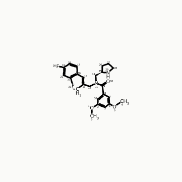 COc1cc(OC)cc(C(=O)N(CC(C)=Cc2ccc(F)cc2F)C[C@H]2CCCN2)c1